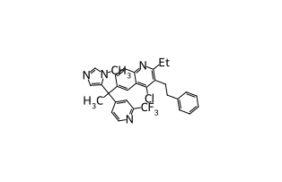 CCc1nc2ccc(C(C)(c3ccnc(C(F)(F)F)c3)c3cncn3C)cc2c(Cl)c1CCc1ccccc1